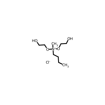 CCCC[N+](C)(OCCO)OCCO.[Cl-]